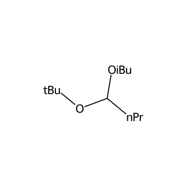 CCCC(OCC(C)C)OC(C)(C)C